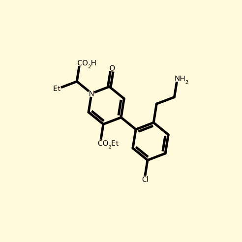 CCOC(=O)c1cn(C(CC)C(=O)O)c(=O)cc1-c1cc(Cl)ccc1CCN